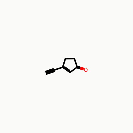 C#CC1=CC(=O)CC1